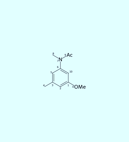 COc1cc(C)cc(N(C)C(C)=O)c1